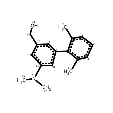 Cc1cccc(C)c1-c1cc(CO)cc(N(C)C)c1